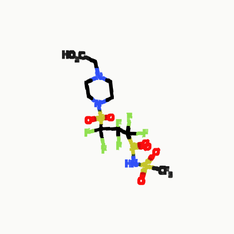 O=C(O)CN1CCN(S(=O)(=O)C(F)(F)C(F)(F)C(F)(F)S(=O)(=O)NS(=O)(=O)C(F)(F)F)CC1